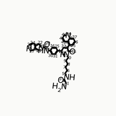 NCC(=O)NCCCCCCN1N=C(c2ccc(NC(=O)N3Cc4ccncc4C3)cc2)CC(c2cccc3ncccc23)C1=O